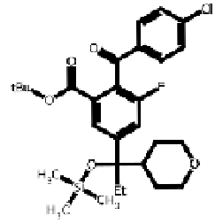 CCC(O[Si](C)(C)C)(c1cc(F)c(C(=O)c2ccc(Cl)cc2)c(C(=O)OC(C)(C)C)c1)C1CCOCC1